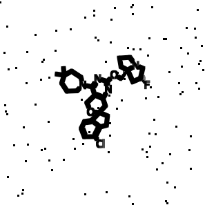 CC1(C)CCCN(c2nc(OC[C@@]34CCCN3C[C@H](F)C4)nc3c2COC2(CCc4c(Cl)cccc42)C3)CC1